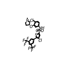 CN1CC[C@@H](Oc2cc(NS(=O)(=O)c3cc(Cl)c(-c4cc(C(F)(F)F)cc(C(F)(F)F)c4)s3)ccc2Cl)C1